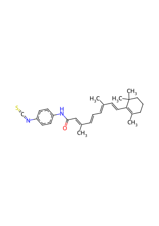 CC(C=CC1=C(C)CCCC1(C)C)=CC=CC(C)=CC(=O)Nc1ccc(N=C=S)cc1